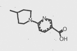 CC1CCN(c2ccc(C(=O)O)cn2)CC1